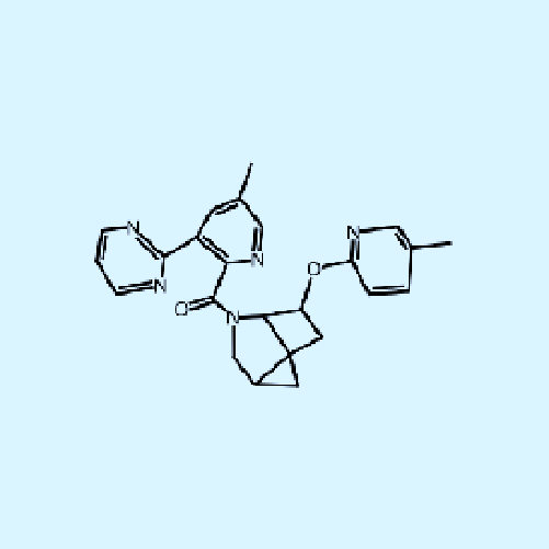 Cc1ccc(OC2CC34CC3CN(C(=O)c3ncc(C)cc3-c3ncccn3)C24)nc1